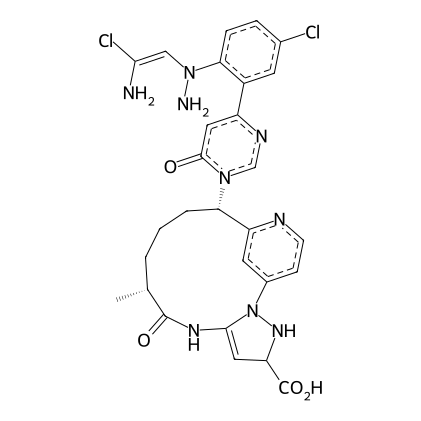 C[C@@H]1CCC[C@H](n2cnc(-c3cc(Cl)ccc3N(N)/C=C(\N)Cl)cc2=O)c2cc(ccn2)N2NC(C(=O)O)C=C2NC1=O